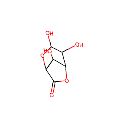 O=C1OC2C(O)C(O)OC1C2O